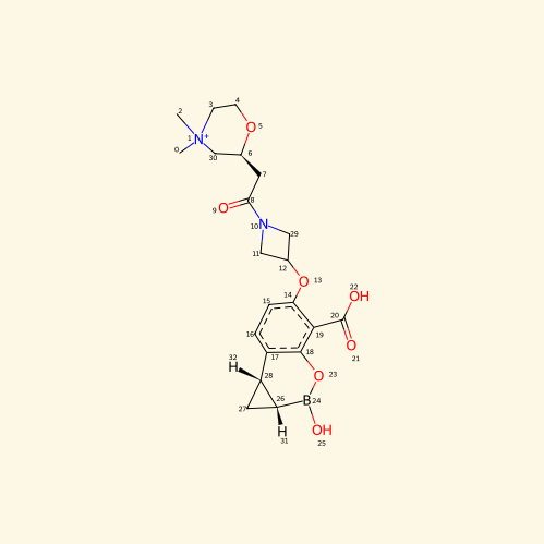 C[N+]1(C)CCO[C@@H](CC(=O)N2CC(Oc3ccc4c(c3C(=O)O)OB(O)[C@@H]3C[C@H]43)C2)C1